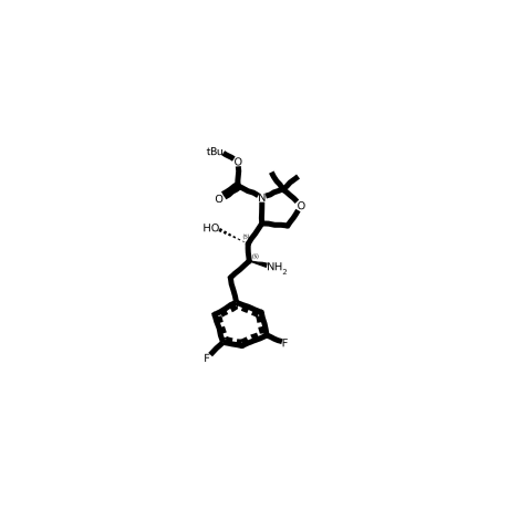 CC(C)(C)OC(=O)N1C([C@@H](O)[C@@H](N)Cc2cc(F)cc(F)c2)COC1(C)C